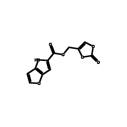 O=C(OCc1coc(=O)o1)c1cc2occc2[nH]1